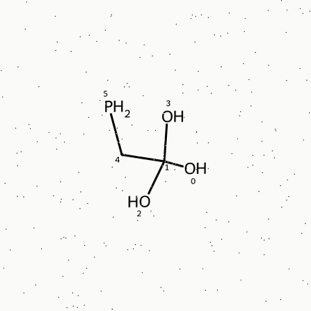 OC(O)(O)CP